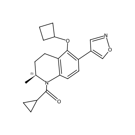 C[C@H]1CCc2c(ccc(-c3cnoc3)c2OC2CCC2)N1C(=O)C1CC1